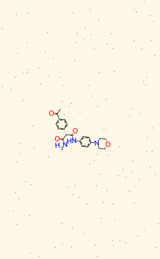 CC(=O)c1ccc([C@@H](C(N)=O)C(=O)Nc2ccc(N3CCOCC3)cc2)cc1